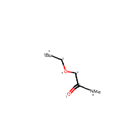 CNC(=O)COCC(C)(C)C